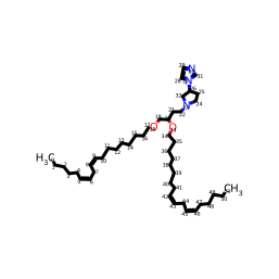 CCCCC/C=C\C/C=C\CCCCCCCCOCC(CCN1CCC(n2ccnc2)C1)OCCCCCCCC/C=C\C/C=C\CCCCC